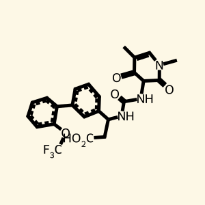 CC1=CN(C)C(=O)C(NC(=O)NC(CC(=O)O)c2cccc(-c3ccccc3OC(F)(F)F)c2)C1=O